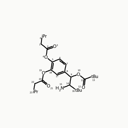 CC(C)CC(=O)Oc1ccc(C(OC(=O)C(C)(C)C)C(N)C(C)(C)C)cc1OC(=O)CC(C)C